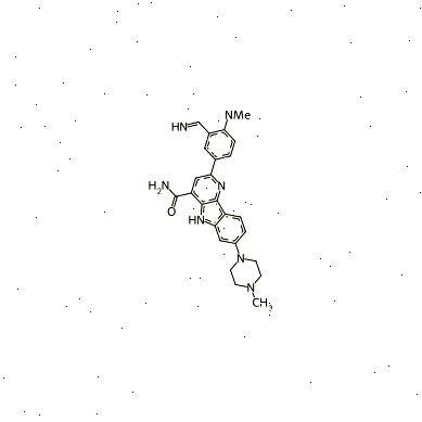 CNc1ccc(-c2cc(C(N)=O)c3[nH]c4cc(N5CCN(C)CC5)ccc4c3n2)cc1C=N